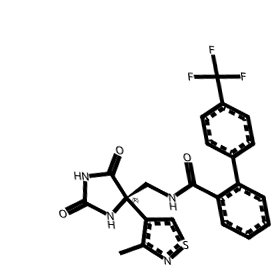 Cc1nscc1[C@]1(CNC(=O)c2ccccc2-c2ccc(C(F)(F)F)cc2)NC(=O)NC1=O